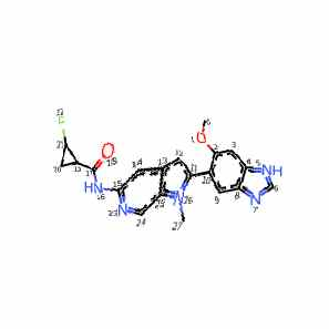 COc1cc2[nH]cnc2cc1-c1cc2cc(NC(=O)C3CC3F)ncc2n1C